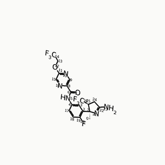 C[C@@]1(c2cc(NC(=O)c3cnc(OCC(F)(F)F)cn3)ccc2F)N=C(N)C[C@@H]1C(F)(F)F